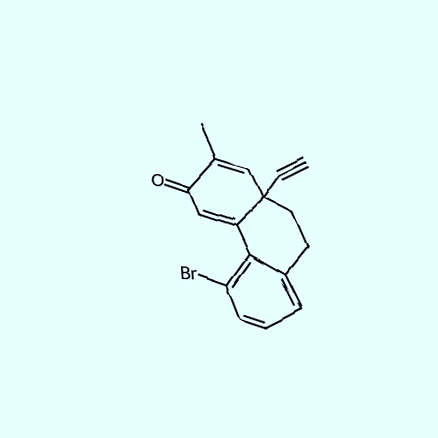 C#CC12C=C(C)C(=O)C=C1c1c(Br)cccc1CC2